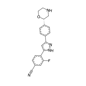 N#Cc1ccc(-c2cc(-c3ccc([C@H]4CNCCO4)cc3)n[nH]2)c(F)c1